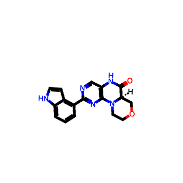 O=C1Nc2cnc(-c3cccc4[nH]ccc34)nc2N2CCOC[C@H]12